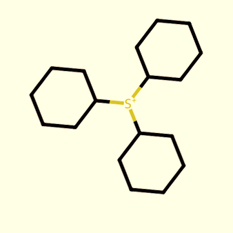 C1CCC([S+](C2CCCCC2)C2CCCCC2)CC1